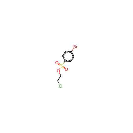 O=S(=O)(OCCCl)c1ccc(Br)cc1